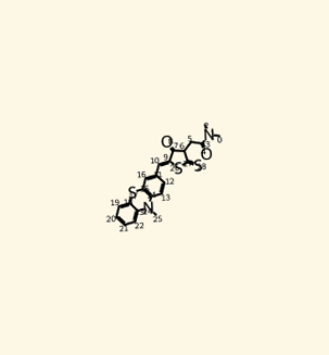 CN(C)C(=O)CC1C(=O)C(=Cc2ccc3c(c2)Sc2ccccc2N3C)SC1=S